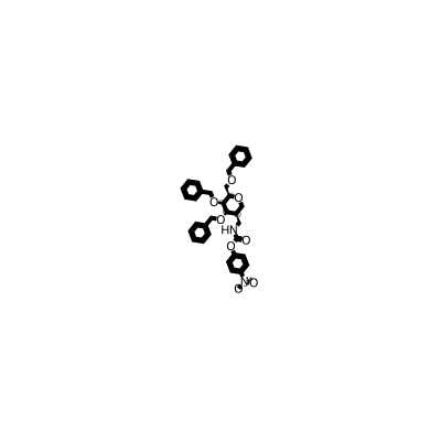 O=C(NC[C@@H]1CO[C@H](COCc2ccccc2)[C@H](OCc2ccccc2)[C@@H]1OCc1ccccc1)Oc1ccc([N+](=O)[O-])cc1